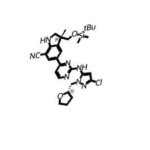 CC(C)(C)[Si](C)(C)OC[C@@]1(C)CNc2c(C#N)cc(-c3ccnc(Nc4cc(Cl)nn4C[C@@H]4CCCO4)n3)cc21